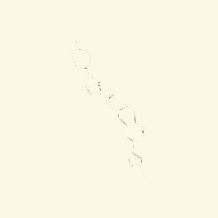 CN1CCC(n2cc(C(=O)Nc3cc4cc(-c5cn(C)nn5)cnc4cn3)cn2)CC1